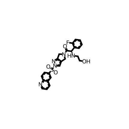 O=C([C@H](NCCO)c1ccccc1F)N1Cc2cn(S(=O)(=O)c3ccc4ncccc4c3)nc2C1